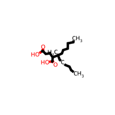 CCCCCCC(C)(CCCCCC)C(CCC(=O)O)C(=O)O